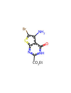 CCOC(=O)c1nc2sc(Br)c(N)c2c(=O)[nH]1